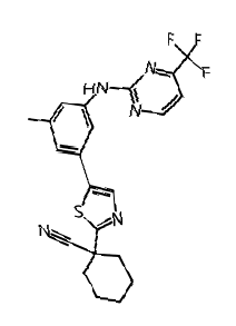 Cc1cc(Nc2nccc(C(F)(F)F)n2)cc(-c2cnc(C3(C#N)CCCCC3)s2)c1